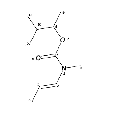 CC=CN(C)C(=O)OC(C)C(C)C